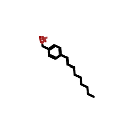 CCCCCCCCCc1ccc(CBr)cc1